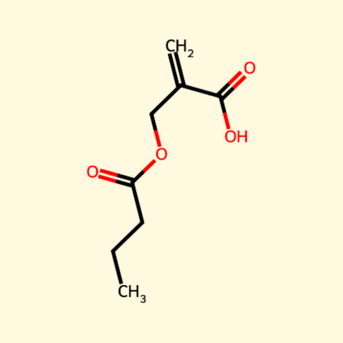 C=C(COC(=O)CCC)C(=O)O